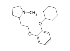 CN1CCCC1CCOc1ccccc1OC1CCCCC1